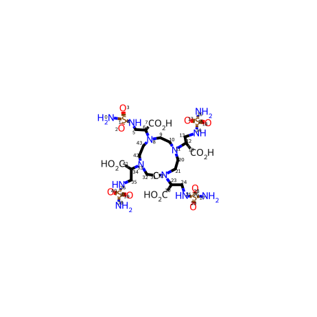 NS(=O)(=O)NCC(C(=O)O)N1CCN(C(CNS(N)(=O)=O)C(=O)O)CCN(C(CNS(N)(=O)=O)C(=O)O)CCN(C(CNS(N)(=O)=O)C(=O)O)CC1